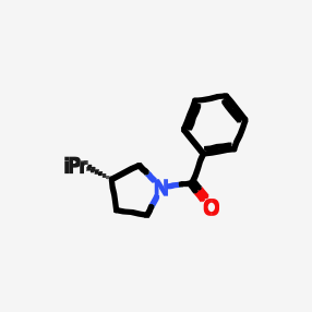 CC(C)[C@H]1CCN(C(=O)c2ccccc2)C1